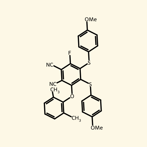 COc1ccc(Sc2c(F)c(C#N)c(C#N)c(Oc3c(C)cccc3C)c2Sc2ccc(OC)cc2)cc1